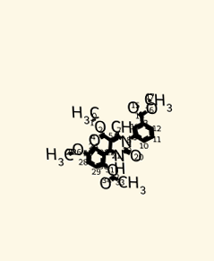 CCOC(=O)C1=C(C)N(c2cccc(C(=O)OC)c2)C(=O)NC1c1cc(OC)ccc1OC(C)=O